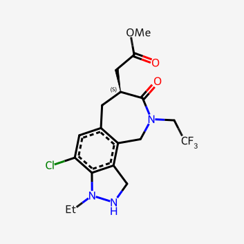 CCN1NCc2c3c(cc(Cl)c21)C[C@@H](CC(=O)OC)C(=O)N(CC(F)(F)F)C3